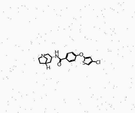 O=C(N[C@@H]1C[C@@H]2CCN(C2)C1)c1ccc(Oc2cc(Cl)cs2)cc1